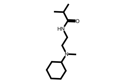 CC(C)C(=O)NCCN(C)C1CCCCC1